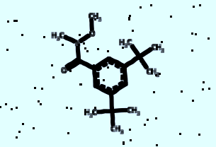 CON(C)C(=O)c1cc(C(C)(C)C)cc(C(C)(C)C)c1